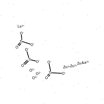 [La+3].[La+3].[O-2].[O-2].[O-2].[O]=[Ti]([O-])[O-].[O]=[Ti]([O-])[O-].[O]=[Ti]([O-])[O-].[Zn+2].[Zn+2].[Zn+2]